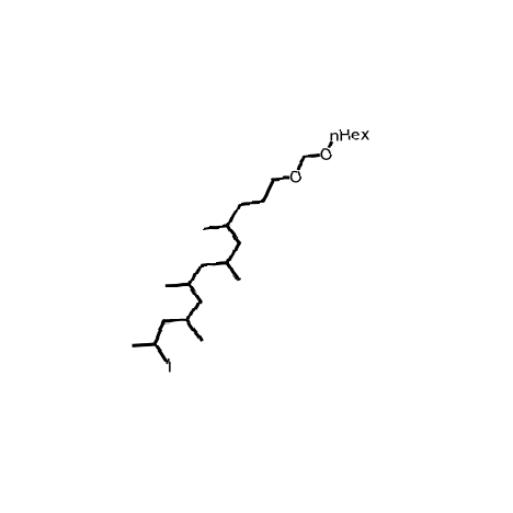 CCCCCCOCOCCCC(C)CC(C)CC(C)CC(C)CC(C)I